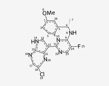 COc1cccc([C@H](C)Nc2nc(-c3c[nH]c4ncc(Cl)nc34)ncc2F)c1